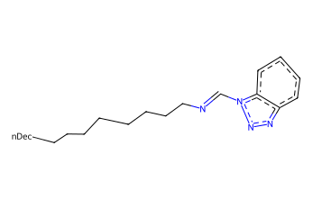 CCCCCCCCCCCCCCCCCCN=Cn1nnc2ccccc21